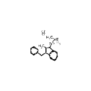 CC1=C(Cc2ccccc2)c2ccccc2[CH]1[Zr+2][SiH](C)C.[Cl-].[Cl-]